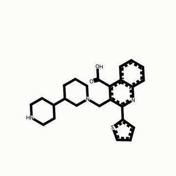 O=C(O)c1c(CN2CCCC(C3CCNCC3)C2)c(-c2cccs2)nc2ccccc12